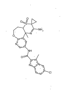 Cc1c(C(=O)Nc2cnc3c(c2)C2(C)N=C(N)C4(CC4)S(=O)(=O)C2CCO3)nc2ccc(Cl)cn12